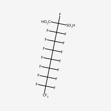 O=C(O)C(F)(C(F)(F)C(F)(F)C(F)(F)C(F)(F)C(F)(F)C(F)(F)C(F)(F)C(F)(F)F)S(=O)(=O)O